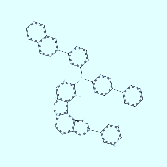 c1ccc(-c2ccc(N(c3cccc(-c4ccc5ccccc5c4)c3)c3ccc4oc5ccc6nc(-c7ccccc7)oc6c5c4c3)cc2)cc1